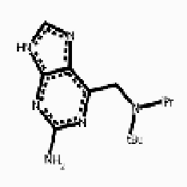 CC(C)N(Cc1nc(N)nc2[nH]cnc12)C(C)(C)C